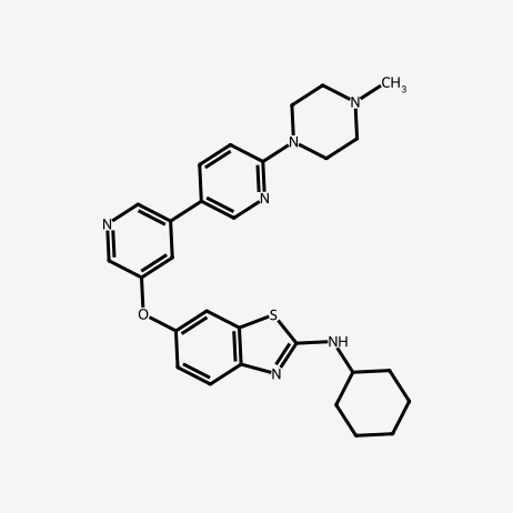 CN1CCN(c2ccc(-c3cncc(Oc4ccc5nc(NC6CCCCC6)sc5c4)c3)cn2)CC1